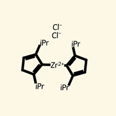 CC(C)C1=CCC(C(C)C)=[C]1[Zr+2][C]1=C(C(C)C)CC=C1C(C)C.[Cl-].[Cl-]